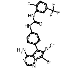 [C-]#[N+]c1c(-c2ccc(NC(=O)Nc3cc(C(F)(F)F)ccc3F)cc2)c2c(N)ncnn2c1Br